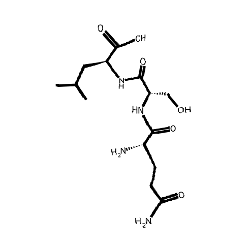 CC(C)C[C@H](NC(=O)[C@H](CO)NC(=O)[C@@H](N)CCC(N)=O)C(=O)O